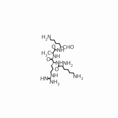 C[C@H](NC(=O)[C@H](CCCNC(=N)N)NC(=O)[C@@H](N)CCCCN)C(=O)N[C@H]([C]=O)CCCCN